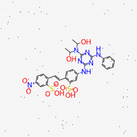 CC(O)N(c1nc(Nc2ccccc2)nc(Nc2ccc(C=Cc3ccc([N+](=O)[O-])cc3S(=O)(=O)O)c(S(=O)(=O)O)c2)n1)C(C)O